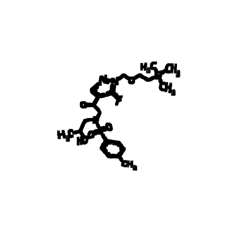 Cc1ccc(S(=O)(=O)N(CC(=O)c2cnn(COCC[Si](C)(C)C)c2F)CC(C)O)cc1